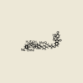 COCCN(CC1CCN(c2cnc(C(=O)NC3C(C)(C)C(Oc4ccc(C#N)c(OC)c4)C3(C)C)cn2)CC1)C1CC(Oc2ccc3c(c2)C(=O)N([C@@H]2CCC(=O)NC2=O)C3=O)C1